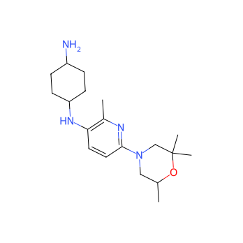 Cc1nc(N2CC(C)OC(C)(C)C2)ccc1NC1CCC(N)CC1